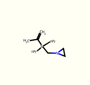 C=C(C)[Si](CCC)(CCC)CN1CC1